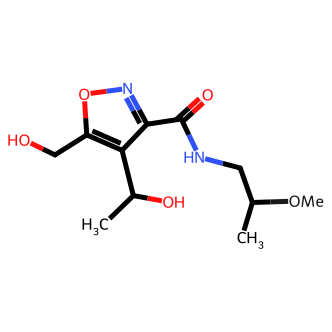 COC(C)CNC(=O)c1noc(CO)c1C(C)O